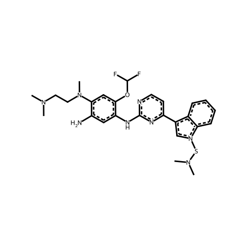 CN(C)CCN(C)c1cc(OC(F)F)c(Nc2nccc(-c3cn(SN(C)C)c4ccccc34)n2)cc1N